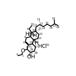 CCOC1C2=CC[C@H]3[C@@H]4CC[C@H]([C@H](C)CCCC(C)C)[C@@]4(C)CC[C@@H]3[C@@]2(C)CC[C@@H]1O.Cl